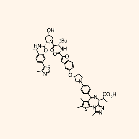 Cc1ncsc1-c1ccc([C@H](C)NC(=O)[C@@H]2C[C@@H](O)CN2C(=O)[C@@H](NC(=O)c2cc3cc(O[C@@H]4CCN(c5ccc(C6=N[C@@H](C(C)C(=O)O)c7nnc(C)n7-c7sc(C)c(C)c76)cc5)C4)ccc3o2)C(C)(C)C)cc1